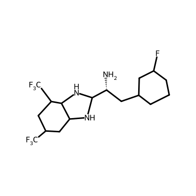 N[C@H](CC1CCCC(F)C1)C1NC2CC(C(F)(F)F)CC(C(F)(F)F)C2N1